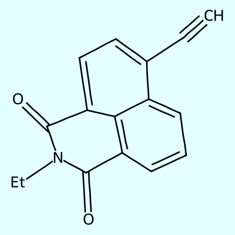 C#Cc1ccc2c3c(cccc13)C(=O)N(CC)C2=O